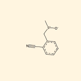 C[S+]([O-])Cc1ccccc1C#N